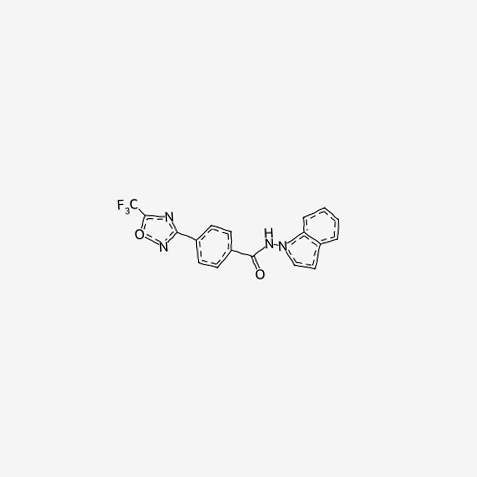 O=C(Nn1ccc2ccccc21)c1ccc(-c2noc(C(F)(F)F)n2)cc1